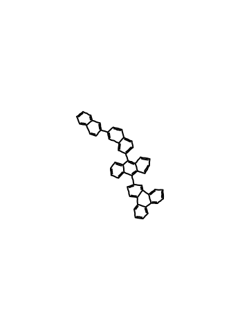 c1ccc2cc(-c3ccc4ccc(-c5c6ccccc6c(-c6ccc7c8ccccc8c8ccccc8c7c6)c6ccccc56)cc4c3)ccc2c1